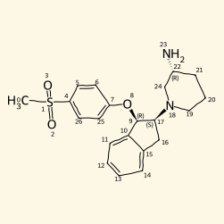 CS(=O)(=O)c1ccc(O[C@@H]2c3ccccc3C[C@@H]2N2CCC[C@@H](N)C2)cc1